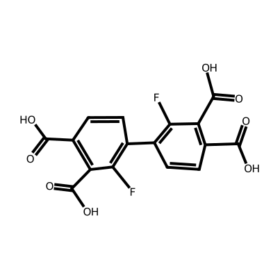 O=C(O)c1ccc(-c2ccc(C(=O)O)c(C(=O)O)c2F)c(F)c1C(=O)O